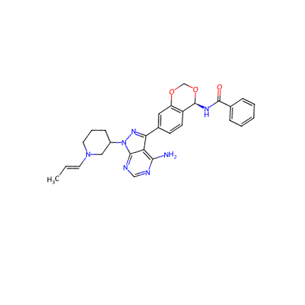 CC=CN1CCCC(n2nc(-c3ccc4c(c3)OCO[C@H]4NC(=O)c3ccccc3)c3c(N)ncnc32)C1